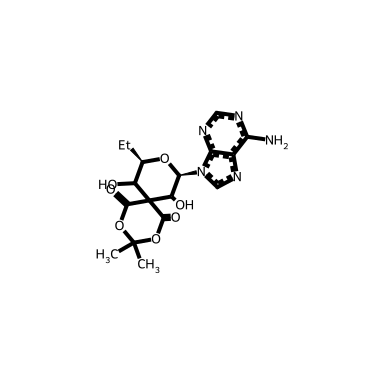 CC[C@H]1O[C@@H](n2cnc3c(N)ncnc32)C(O)C2(C(=O)OC(C)(C)OC2=O)C1O